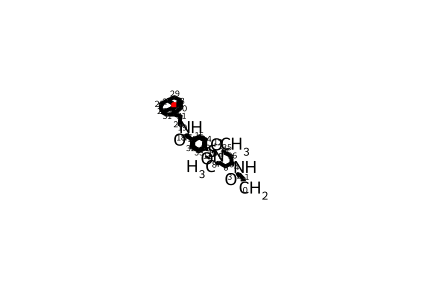 C=CC(=O)NC1CC(C)N(S(=O)(=O)c2ccc(C(=O)NCCC34CC5CC(CC(C5)C3)C4)cc2)C(C)C1